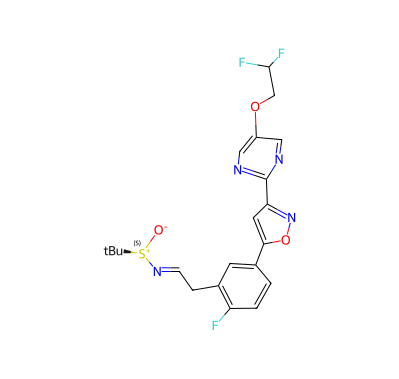 CC(C)(C)[S@@+]([O-])N=CCc1cc(-c2cc(-c3ncc(OCC(F)F)cn3)no2)ccc1F